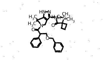 CC1(C)c2[nH]nc(NC(=O)C3([Si](C)(C)C)CCC3)c2CN1C(=O)C(COCc1ccccc1)c1ccccc1